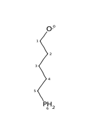 [O]CCCCCP